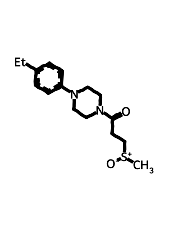 CCc1ccc(N2CCN(C(=O)CC[S+](C)[O-])CC2)cc1